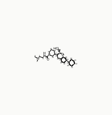 CN(C)CCNC(=O)N1CCCC(C(Cc2ccc(-c3ccccc3)cc2)=S(=O)=O)C1.Cl